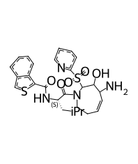 CC(C)C[C@H](NC(=O)c1scc2ccccc12)C(=O)N1CCC=CC(N)C(O)C1S(=O)(=O)c1ccccn1